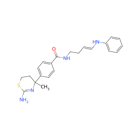 CC1(c2ccc(C(=O)NCC/C=C/Nc3ccccc3)cc2)CCSC(N)=N1